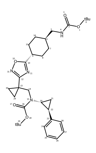 CC(C)(C)OC(=O)NC[C@H]1CC[C@H](c2nc(C3(CN(C(=O)OC(C)(C)C)[C@@H]4C[C@H]4c4ccccc4)CC3)no2)CC1